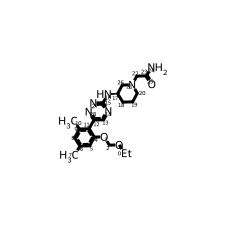 CCOCOc1cc(C)cc(C)c1-c1cnc(N[C@@H]2CCCN(CC(N)=O)C2)nn1